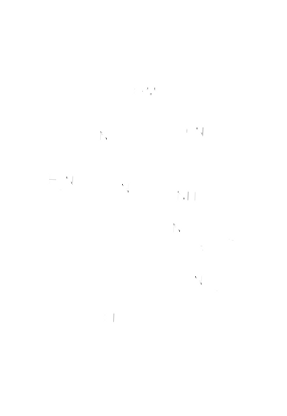 COc1nc(N)nc(NN(C(N)=O)c2cccc(C(F)(F)F)c2)c1C#N